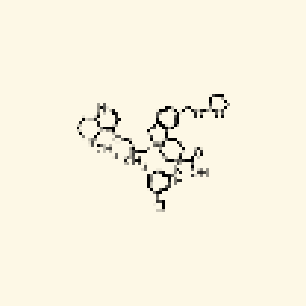 C[C@@H](COc1ccnc2c1[C@H](C)CCC2)C[C@@H]1Cc2ccc(COC3CCCO3)cc2C12CCC(Nc1cccc(Cl)c1)(C(=O)O)CC2